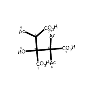 CC(=O)C(C(=O)O)C(O)(C(=O)O)C(C(C)=O)(C(C)=O)C(=O)O